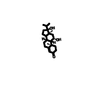 CC(C)[C@@]1(O)CCC2[C@@H]3CCC4=CC(=O)CC[C@]4(C)[C@H]3[C@@H](O)C[C@@]21C